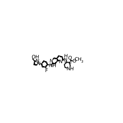 COC(=O)[C@@H]1CNCC[C@H]1Nc1ccc2cnc(Nc3ccc(-n4ccc(CO)n4)cc3F)cc2n1